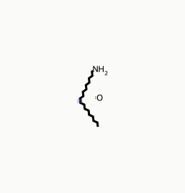 CCCCCCCC/C=C\CCCCCCCCN.[O]